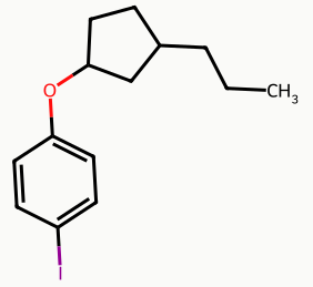 CCCC1CCC(Oc2ccc(I)cc2)C1